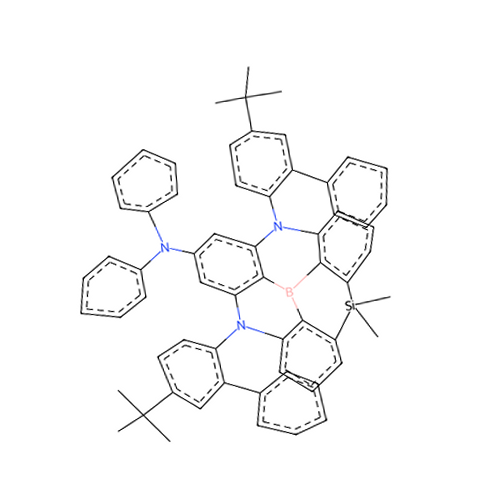 CC(C)(C)c1ccc(N2c3cc(N(c4ccccc4)c4ccccc4)cc4c3B3c5c2cccc5[Si](C)(C)c2cccc(c23)N4c2ccc(C(C)(C)C)cc2-c2ccccc2)c(-c2ccccc2)c1